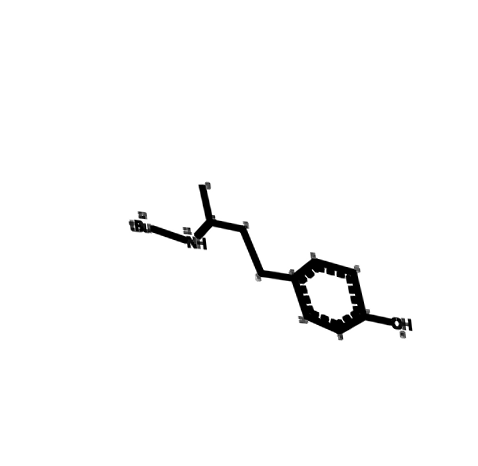 CC(CCc1ccc(O)cc1)NC(C)(C)C